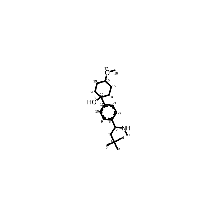 CNC(CC(C)(C)C)c1ccc(C2(O)CCC(OC)CC2)cc1